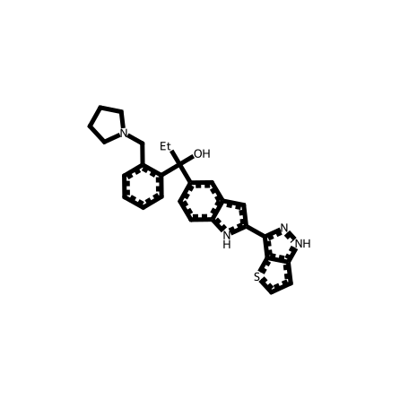 CCC(O)(c1ccc2[nH]c(-c3n[nH]c4ccsc34)cc2c1)c1ccccc1CN1CCCC1